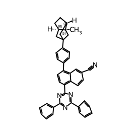 C[C@@]12CC3(c4ccc(-c5ccc(-c6nc(-c7ccccc7)nc(-c7ccccc7)n6)c6ccc(C#N)cc56)cc4)C[C@H]1CC[C@H]2C3